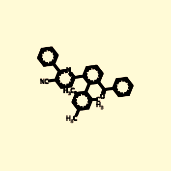 Cc1cc(C)c(-c2c(C(=O)c3ccccc3)cccc2-c2ccc(C#N)c(-c3ccccc3)n2)c(C)c1